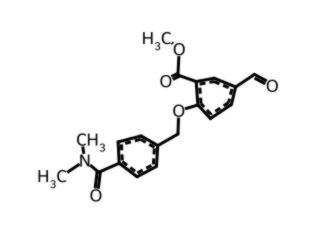 COC(=O)c1cc(C=O)ccc1OCc1ccc(C(=O)N(C)C)cc1